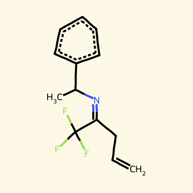 C=CCC(=NC(C)c1ccccc1)C(F)(F)F